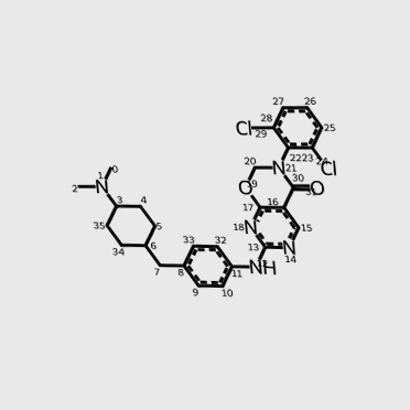 CN(C)C1CCC(Cc2ccc(Nc3ncc4c(n3)OCN(c3c(Cl)cccc3Cl)C4=O)cc2)CC1